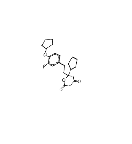 O=C1CC(=O)OC(CCc2ccc(OC3CCCC3)c(F)c2)(C2CCCC2)C1